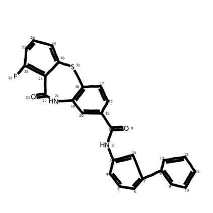 O=C(Nc1cccc(-c2ccccc2)c1)c1ccc2c(c1)NC(=O)c1c(F)cccc1S2